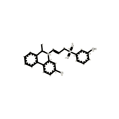 CC1c2ccccc2-c2ccc(Cl)cc2N1C=CCS(=O)(=O)c1cccc(O)c1